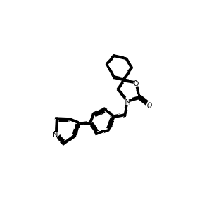 O=C1OC2(CCCCC2)CN1Cc1ccc(-c2ccncc2)cc1